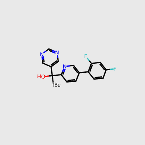 CC(C)(C)C(O)(c1cncnc1)c1ccc(-c2ccc(F)cc2F)cn1